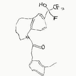 Cc1cccc(CC(=O)N2CCCCc3cc(C(O)(F)C(F)(F)F)ccc32)c1